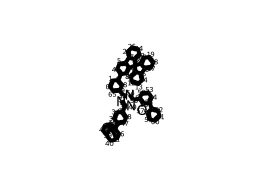 c1cc(-c2ccc3c(c2)C2(c4ccccc4-c4ccccc42)c2ccccc2-3)cc(-c2nc(-c3ccc(C45CC6CC(CC(C6)C4)C5)cc3)nc(-c3cccc4c3oc3ccccc34)n2)c1